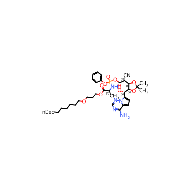 CCCCCCCCCCCCCCCCOCCCOC(=O)[C@H](C)NP(=O)(OC[C@H](C#N)[C@H]1OC(C)(C)O[C@H]1[C@@H](O)c1ccc2c(N)ncnn12)Oc1ccccc1